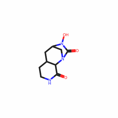 O=C1NCCC2CC3CN(C(=O)N3O)C12